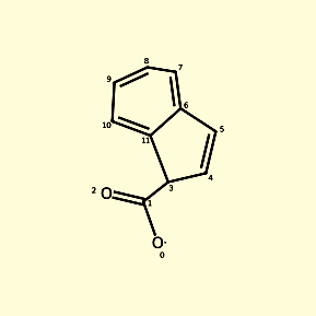 [O]C(=O)C1C=Cc2ccccc21